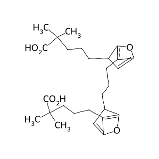 CC(C)(CCCC1=C2OC1=CC2CCCC1=C2OC1=CC2CCCC(C)(C)C(=O)O)C(=O)O